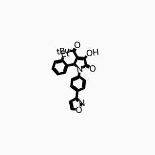 CCc1ccccc1C1C(C(=O)C(C)(C)C)=C(O)C(=O)N1c1ccc(-c2ccon2)cc1